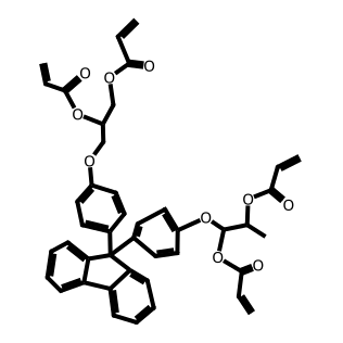 C=CC(=O)OCC(COc1ccc(C2(c3ccc(OC(OC(=O)C=C)C(C)OC(=O)C=C)cc3)c3ccccc3-c3ccccc32)cc1)OC(=O)C=C